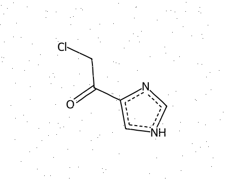 O=C(CCl)c1c[nH]cn1